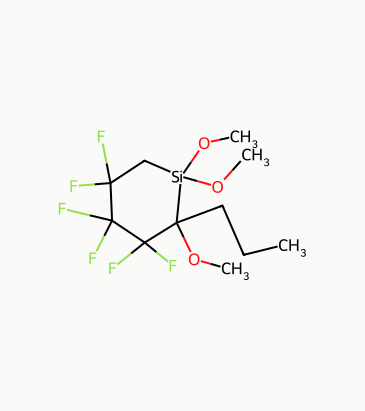 CCCC1(OC)C(F)(F)C(F)(F)C(F)(F)C[Si]1(OC)OC